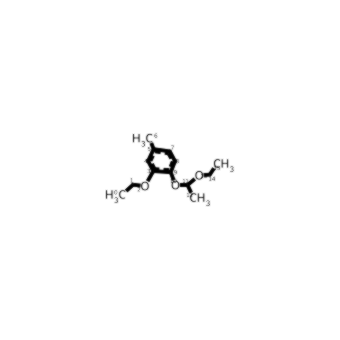 CCOc1cc(C)ccc1OC(C)OCC